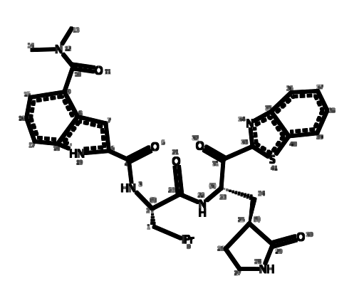 CC(C)C[C@H](NC(=O)c1cc2c(C(=O)N(C)C)cccc2[nH]1)C(=O)N[C@@H](C[C@@H]1CCNC1=O)C(=O)c1nc2ccccc2s1